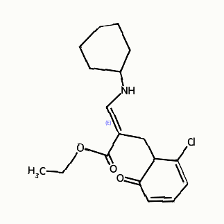 CCOC(=O)/C(=C/NC1CCCCC1)CC1C(=O)C=CC=C1Cl